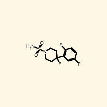 NS(=O)(=O)N1CCC(F)(c2cc(F)ccc2F)CC1